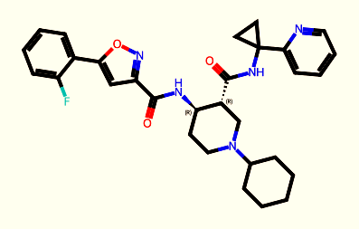 O=C(N[C@@H]1CCN(C2CCCCC2)C[C@H]1C(=O)NC1(c2ccccn2)CC1)c1cc(-c2ccccc2F)on1